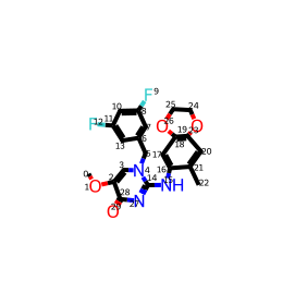 COc1cn(Cc2cc(F)cc(F)c2)c(Nc2cc3c(cc2C)OCCO3)nc1=O